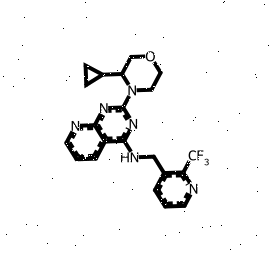 FC(F)(F)c1ncccc1CNc1nc(N2CCOCC2C2CC2)nc2ncccc12